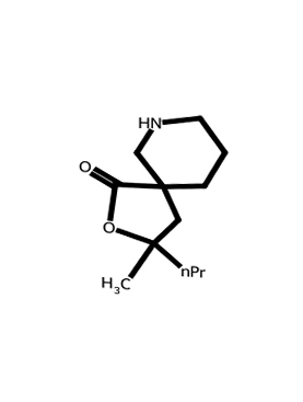 CCCC1(C)CC2(CCCNC2)C(=O)O1